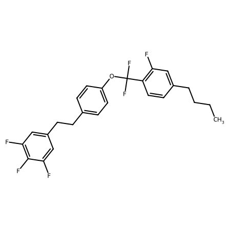 CCCCc1ccc(C(F)(F)Oc2ccc(CCc3cc(F)c(F)c(F)c3)cc2)c(F)c1